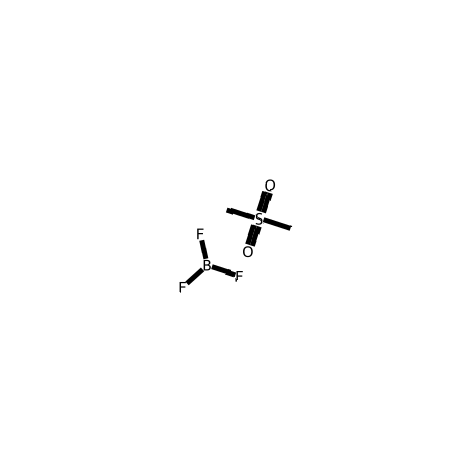 CS(C)(=O)=O.FB(F)F